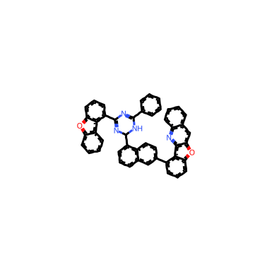 c1ccc(C2=NC(c3cccc4oc5ccccc5c34)=NC(c3cccc4cc(-c5cccc6oc7cc8ccccc8nc7c56)ccc34)N2)cc1